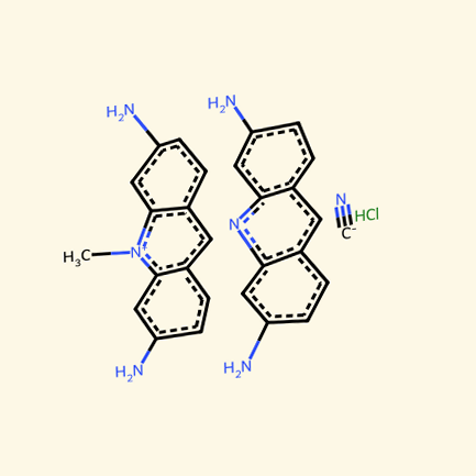 C[n+]1c2cc(N)ccc2cc2ccc(N)cc21.Cl.Nc1ccc2cc3ccc(N)cc3nc2c1.[C-]#N